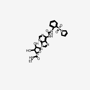 CCNC(=O)[C@H]1O[C@@H](n2cnc3c(NC(=O)Nc4ccccc4S(=O)(=O)N4CC=CC4)ncnc32)C(O)C1O